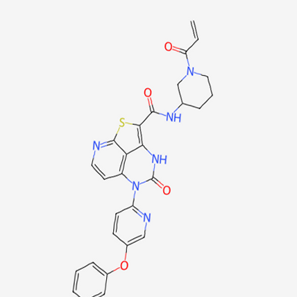 C=CC(=O)N1CCCC(NC(=O)c2sc3nccc4c3c2NC(=O)N4c2ccc(Oc3ccccc3)cn2)C1